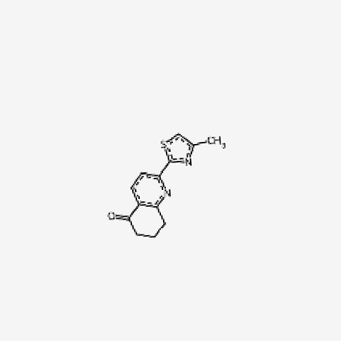 Cc1csc(-c2ccc3c(n2)CCCC3=O)n1